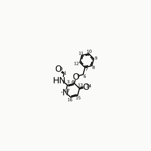 O=CNC1=C(OCc2ccccc2)C(=O)C=C[N]1